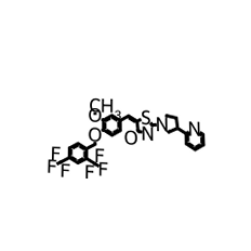 COc1cc(C=C2SC(N3CCC(c4ccccn4)C3)=NC2=O)ccc1OCc1ccc(C(F)(F)F)cc1C(F)(F)F